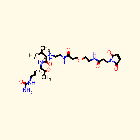 CC(=O)[C@H](CCCNC(N)=O)NC(=O)[C@@H](NCCNC(=O)CCOCCNC(=O)CCN1C(=O)C=CC1=O)C(C)C